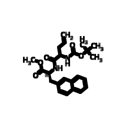 C=CCC(NC(=O)OC(C)(C)C)C(=O)N[C@@H](Cc1ccc2ccccc2c1)C(=O)OC